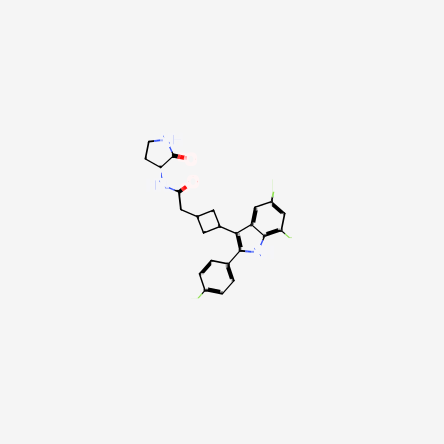 O=C(CC1CC(c2c(-c3ccc(F)cc3)[nH]c3c(F)cc(F)cc23)C1)N[C@H]1CCNC1=O